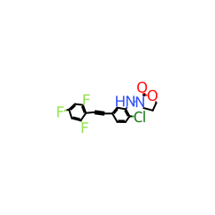 O=C1OCCCN1Nc1cc(C#Cc2c(F)cc(F)cc2F)ccc1Cl